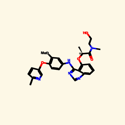 COc1cc(Nc2ncnc3cccc(O[C@H](C)C(=O)N(C)CCO)c23)ccc1Oc1ccc(C)nc1